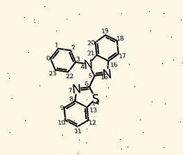 c1ccc(-n2c(-c3nc4ccccc4s3)nc3ccccc32)cc1